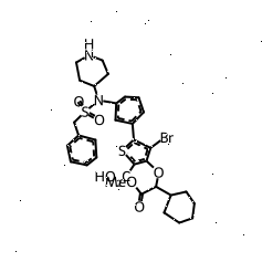 COC(=O)C(Oc1c(C(=O)O)sc(-c2cccc(N(C3CCNCC3)S(=O)(=O)Cc3ccccc3)c2)c1Br)C1CCCCC1